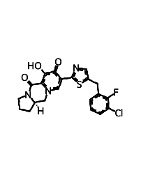 O=C1c2c(O)c(=O)c(-c3ncc(Cc4cccc(Cl)c4F)s3)cn2C[C@H]2CCCN12